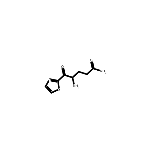 NC(=O)CCC(N)C(=O)c1nccs1